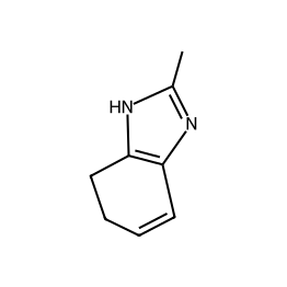 Cc1nc2c([nH]1)CCC=C2